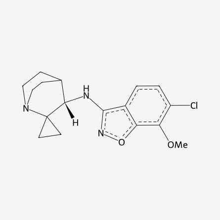 COc1c(Cl)ccc2c(N[C@H]3C4CCN(CC4)C34CC4)noc12